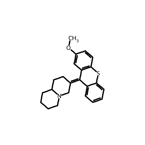 COc1ccc2c(c1)/C(=C1\CCC3CCCCN3C1)c1ccccc1S2